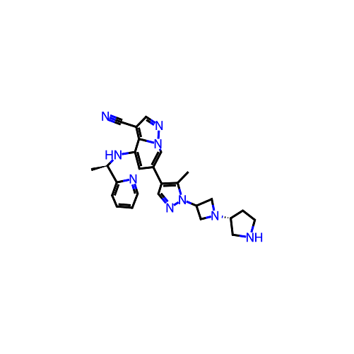 Cc1c(-c2cc(N[C@H](C)c3ccccn3)c3c(C#N)cnn3c2)cnn1C1CN([C@@H]2CCNC2)C1